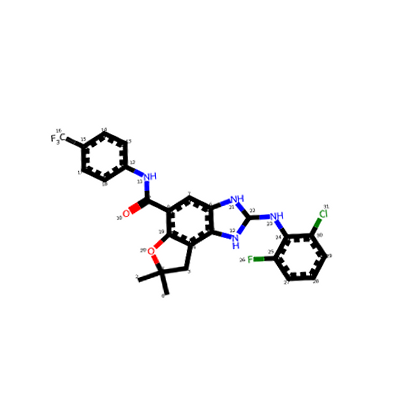 CC1(C)Cc2c3c(cc(C(=O)Nc4ccc(C(F)(F)F)cc4)c2O1)NC(Nc1c(F)cccc1Cl)N3